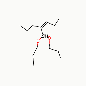 CCC=C(CCC)[SiH](OCCC)OCCC